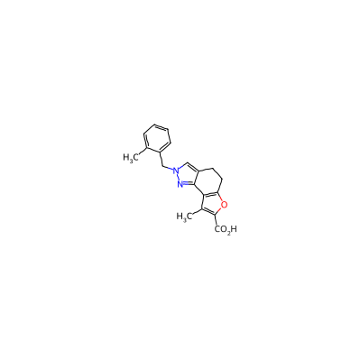 Cc1ccccc1Cn1cc2c(n1)-c1c(oc(C(=O)O)c1C)CC2